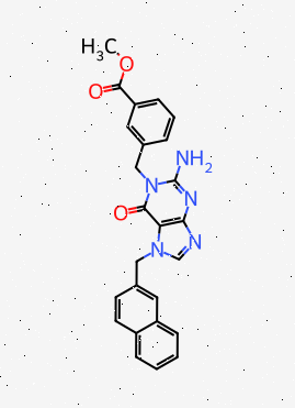 COC(=O)c1cccc(Cn2c(N)nc3ncn(Cc4ccc5ccccc5c4)c3c2=O)c1